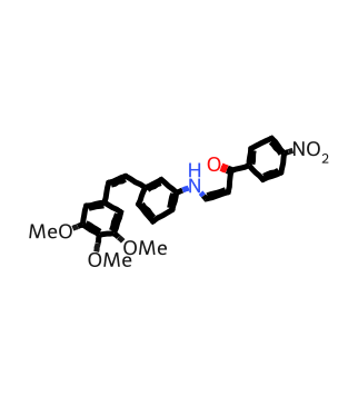 COc1cc(/C=C\c2cccc(N/C=C\C(=O)c3ccc([N+](=O)[O-])cc3)c2)cc(OC)c1OC